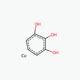 Oc1cccc(O)c1O.[Cu]